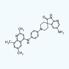 Cc1cc(C)c2nc(C)cc(Nc3ccc(N4CCC5(CC4)C(=O)Nc4ncc(N)cc45)cc3)c2c1